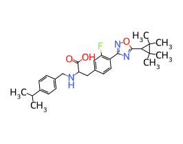 CC(C)c1ccc(CNC(Cc2ccc(-c3noc(C4C(C)(C)C4(C)C)n3)c(F)c2)C(=O)O)cc1